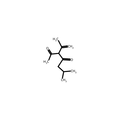 C=C(C)C(C(C)=O)C(=O)CC(C)C